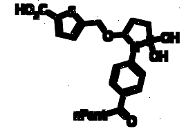 CCCCCC(=O)c1ccc(N2C(OCc3ccc(C(=O)O)s3)CCS2(O)O)cc1